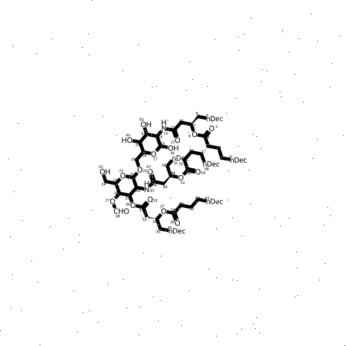 CCCCCCCCCCCCCC(=O)O[C@H](CCCCCCCCCCC)CC(=O)NC1C(O)OC(COC2OC(CO)C(OC=O)C(OC(=O)C[C@@H](CCCCCCCCCCC)OC(=O)CCCCCCCCCCCCC)C2NC(=O)C[C@@H](CCCCCCCCCCC)OC(=O)CCCCCCCCCCCCC)C(O)C1O